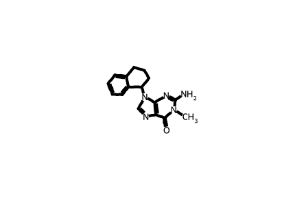 Cn1c(N)nc2c(ncn2C2CCCc3ccccc32)c1=O